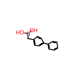 OB(O)Cc1ccc(-c2ccccc2)cc1